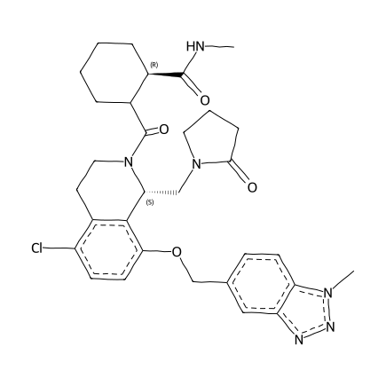 CNC(=O)[C@@H]1CCCCC1C(=O)N1CCc2c(Cl)ccc(OCc3ccc4c(c3)nnn4C)c2[C@H]1CN1CCCC1=O